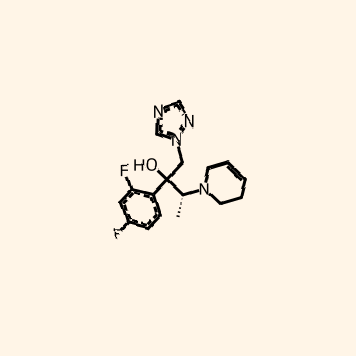 C[C@@H](N1CC=CCC1)C(O)(Cn1cncn1)c1ccc(F)cc1F